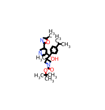 Cc1cnc(-c2cncc([C@@](O)(c3ccc(C(C)C)cc3)C3(C)CN(C(=O)OC(C)(C)C)C3)c2)o1